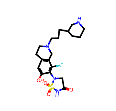 O=C1CN(c2c(O)cc3c(c2F)CN(CCCC2CCCNC2)CC3)S(=O)(=O)N1